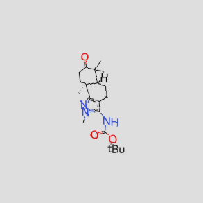 Cn1nc2c(c1NC(=O)OC(C)(C)C)CC[C@H]1C(C)(C)C(=O)CC[C@]21C